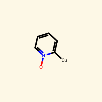 [O-][n+]1cccc[c]1[Cu]